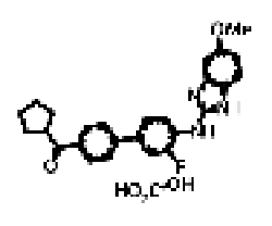 COc1ccc2[nH]c(Nc3ccc(-c4ccc(C(=O)C5CCCC5)cc4)cc3F)nc2c1.O=C(O)O